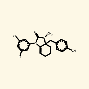 CN1C(=O)N(c2cc(Cl)cc(Cl)c2)C2=CCCCC21Cc1ccc(C#N)cc1